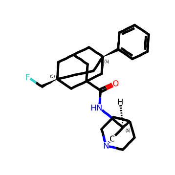 O=C(N[C@@H]1CN2CCC1CC2)C12CC3C[C@@](CF)(C1)C[C@](c1ccccc1)(C3)C2